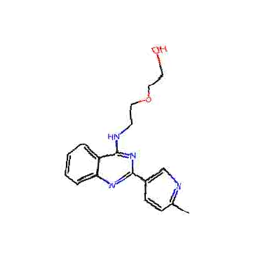 Cc1ccc(-c2nc(NCCOCCO)c3ccccc3n2)cn1